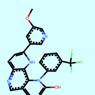 COc1cncc(C2=CC=c3ncc4c(c3N2)N(c2cccc(C(F)(F)F)c2)C(O)=CC=4)c1